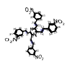 O=[N+]([O-])c1cccc(/C=C/c2nc(/C=C/c3cccc([N+](=O)[O-])c3)c(/C=C/c3cccc([N+](=O)[O-])c3)nc2/C=C/c2cccc([N+](=O)[O-])c2)c1